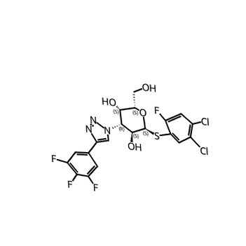 OC[C@@H]1O[C@@H](Sc2cc(Cl)c(Cl)cc2F)[C@@H](O)[C@H](n2cc(-c3cc(F)c(F)c(F)c3)nn2)[C@@H]1O